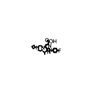 CC(C)c1nn(-c2ccc(F)cc2)c2nc(C(=O)O)cc(N3CCCN(C4CCC4)CC3)c12